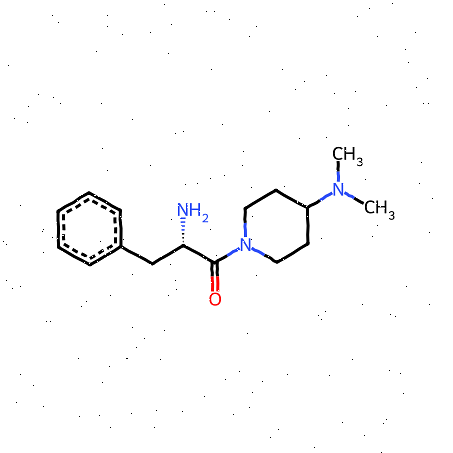 CN(C)C1CCN(C(=O)[C@@H](N)Cc2ccccc2)CC1